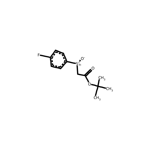 CC(C)(C)OC(=O)C[S@+]([O-])c1ccc(F)cc1